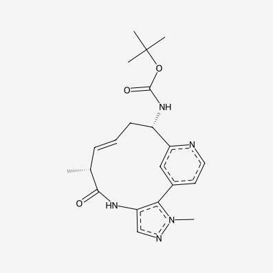 C[C@@H]1/C=C/C[C@H](NC(=O)OC(C)(C)C)c2cc(ccn2)-c2c(cnn2C)NC1=O